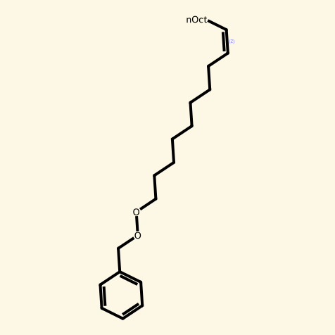 CCCCCCCC/C=C\CCCCCCCCOOCc1ccccc1